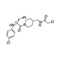 CC(C)C[C@H](Nc1ccc(Cl)cc1)C(=O)N1CCC(CNC(=O)CCl)CC1